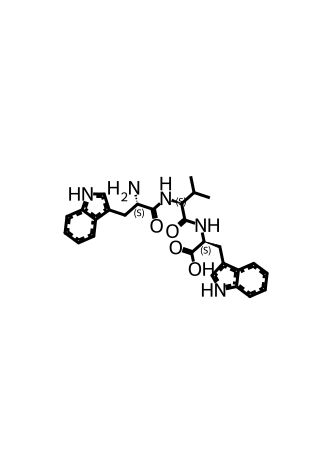 CC(C)[C@H](NC(=O)[C@@H](N)Cc1c[nH]c2ccccc12)C(=O)N[C@@H](Cc1c[nH]c2ccccc12)C(=O)O